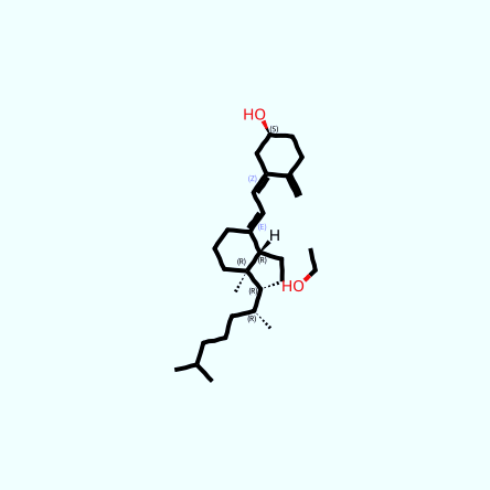 C=C1CC[C@H](O)C/C1=C/C=C1\CCC[C@]2(C)[C@@H]([C@H](C)CCCC(C)C)CC[C@@H]12.CCO